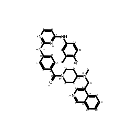 Cc1cc(Nc2ccnc(Nc3ccc(C(=O)N4CCC(N(C)Cc5cncc6ccccc56)CC4)cc3)n2)ccc1F